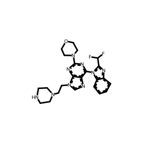 FC(F)c1nc2ccccc2n1-c1nc(N2CCOCC2)nc2c1ncn2CCN1CCNCC1